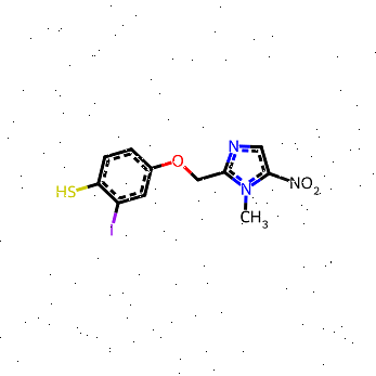 Cn1c([N+](=O)[O-])cnc1COc1ccc(S)c(I)c1